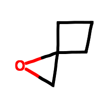 C1CC2(C1)CO2